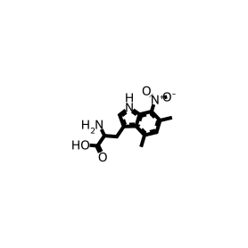 Cc1cc(C)c2c(CC(N)C(=O)O)c[nH]c2c1[N+](=O)[O-]